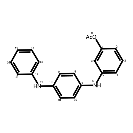 CC(=O)Oc1cccc(Nc2ccc(Nc3ccccc3)cc2)c1